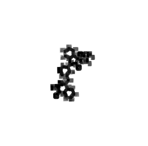 COC1(C)C(=O)N(c2cncc(Cc3n[nH]c(=O)c4ccccc34)c2)c2ccccc21